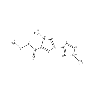 CCOC(=O)c1cc(-c2ccn(C)n2)cn1C